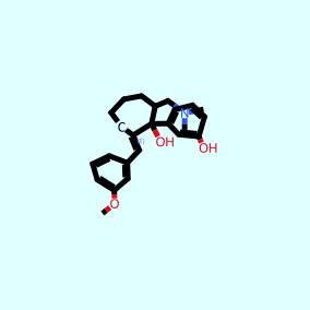 COc1cccc(/C=C2\CCCCC(CN(C)C)C2(O)c2cccc(O)c2)c1